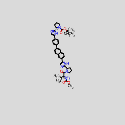 COC(=O)N[C@H](C(=O)N1CCCC1c1ncc(-c2ccc3cc(-c4ccc(-c5cnc([C@@H]6CCCN6C(=O)OC(C)(C)C)[nH]5)cc4)ccc3c2)[nH]1)C(C)C